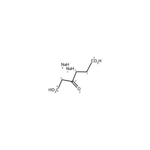 O=C(O)CCC(=O)CC(=O)O.[NaH].[NaH]